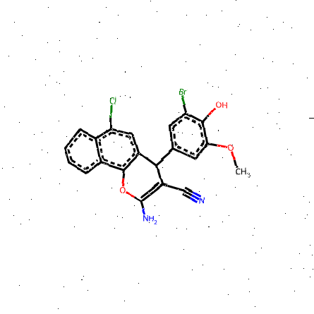 COc1cc(C2C(C#N)=C(N)Oc3c2cc(Cl)c2ccccc32)cc(Br)c1O